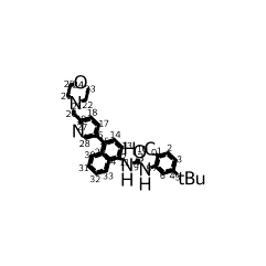 Cc1ccc(C(C)(C)C)cc1NC(=O)Nc1ccc(-c2ccc(CN3CCOCC3)nc2)c2ccccc12